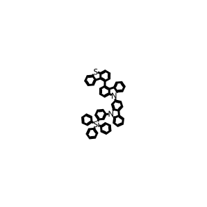 c1ccc([Si](c2ccccc2)(c2ccccc2)c2cccc(-n3c4ccccc4c4ccc(-n5c6ccccc6c6c(-c7cccc8sc9ccccc9c78)cccc65)cc43)c2)cc1